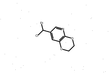 CCC(Cl)c1cnc2c(c1)OCCO2